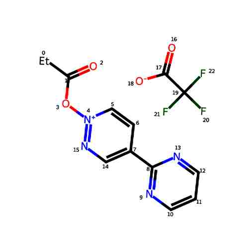 CCC(=O)O[n+]1ccc(-c2ncccn2)cn1.O=C([O-])C(F)(F)F